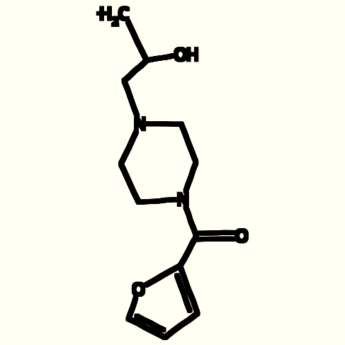 [CH2]C(O)CN1CCN(C(=O)c2ccco2)CC1